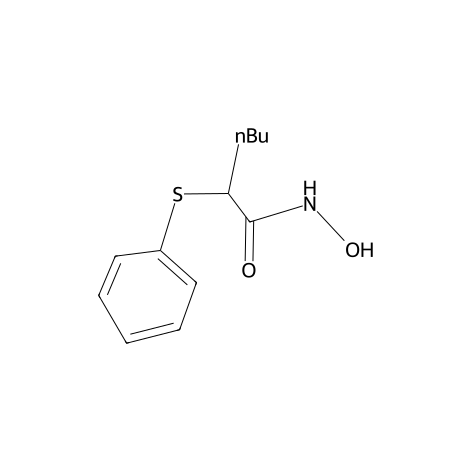 CCCCC(Sc1ccccc1)C(=O)NO